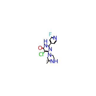 C[C@H]1CN(c2nc(-c3ccnc(F)c3)[nH]c(=O)c2Cl)CCN1